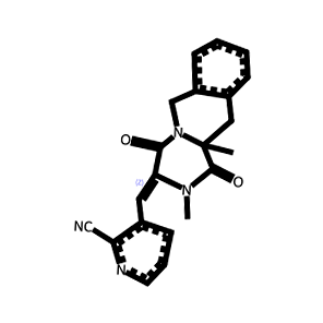 CN1C(=O)C2(C)Cc3ccccc3CN2C(=O)/C1=C/c1cccnc1C#N